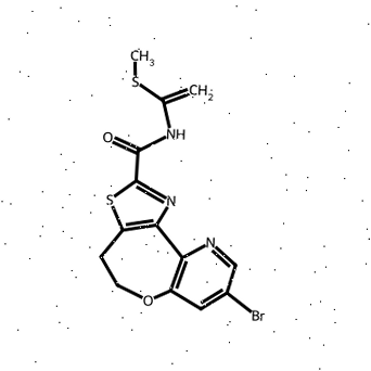 C=C(NC(=O)c1nc2c(s1)CCOc1cc(Br)cnc1-2)SC